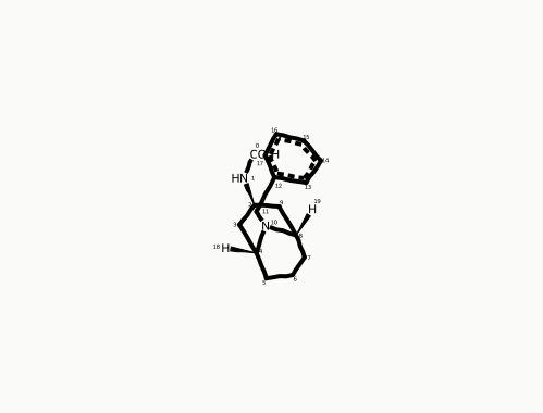 O=C(O)N[C@@H]1C[C@H]2CCC[C@@H](C1)N2Cc1ccccc1